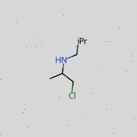 CC(C)CNC(C)CCl